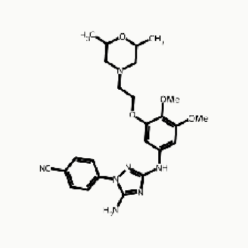 COc1cc(Nc2nc(N)n(-c3ccc(C#N)cc3)n2)cc(OCCN2CC(C)OC(C)C2)c1OC